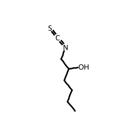 CCCCC(O)CN=C=S